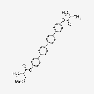 C=C(C)C(=O)Oc1ccc(-c2ccc(-c3ccc(-c4ccc(OC(=O)C(=C)COC)cc4)cc3)cc2)cc1